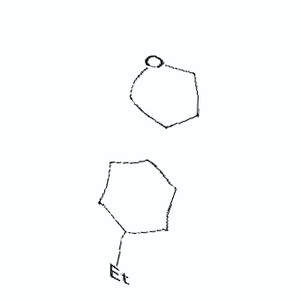 C1CCOC1.CCC1CCCCC1